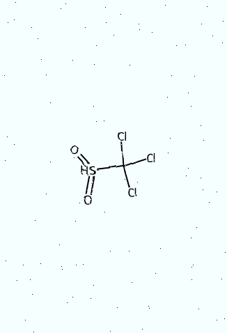 O=[SH](=O)C(Cl)(Cl)Cl